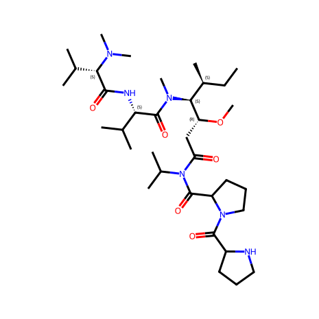 CC[C@H](C)[C@@H]([C@@H](CC(=O)N(C(=O)C1CCCN1C(=O)C1CCCN1)C(C)C)OC)N(C)C(=O)[C@@H](NC(=O)[C@H](C(C)C)N(C)C)C(C)C